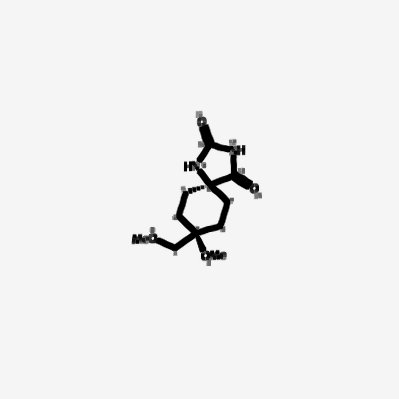 COC[C@]1(OC)CC[C@]2(CC1)NC(=O)NC2=O